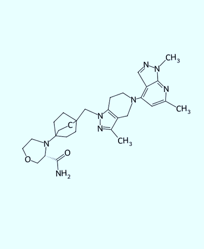 Cc1cc(N2CCc3c(c(C)nn3CC34CCC(N5CCOC[C@H]5C(N)=O)(CC3)CC4)C2)c2cnn(C)c2n1